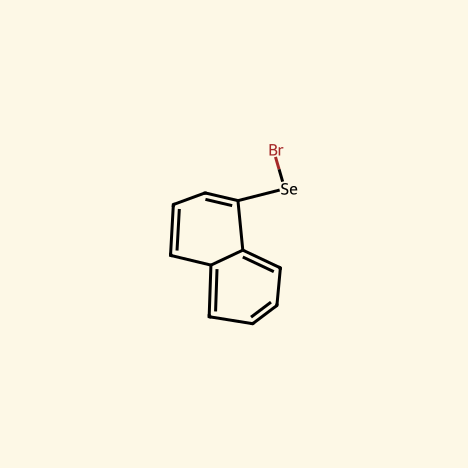 Br[Se]c1cccc2ccccc12